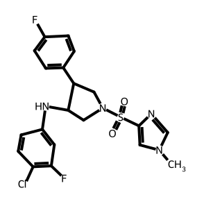 Cn1cnc(S(=O)(=O)N2CC(Nc3ccc(Cl)c(F)c3)C(c3ccc(F)cc3)C2)c1